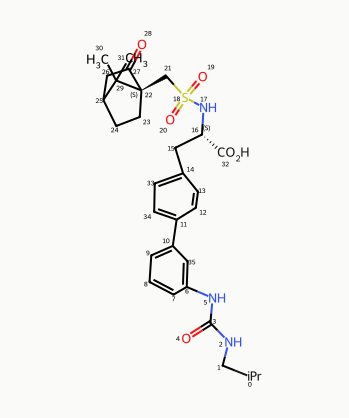 CC(C)CNC(=O)Nc1cccc(-c2ccc(C[C@H](NS(=O)(=O)C[C@]34CCC(CC3=O)C4(C)C)C(=O)O)cc2)c1